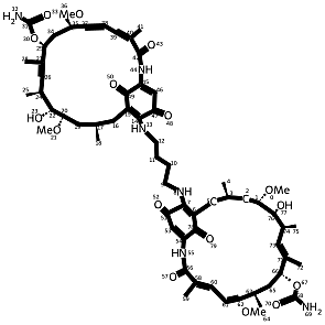 CO[C@H]1C[C@H](C)CC2=C(NCCCCNC3=C4C[C@@H](C)C[C@H](OC)[C@H](O)[C@@H](C)/C=C(\C)[C@H](OC(N)=O)C[C@@H](OC)/C=C\C=C(/C)C(=O)NC(=CC3=O)C4=O)C(=O)C=C(NC(=O)/C(C)=C/C=C\[C@H](OC)C[C@@H](OC(N)=O)/C(C)=C/[C@H](C)[C@H]1O)C2=O